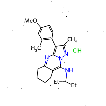 CCC(CC)Nc1c2c(nc3c(-c4ccc(OC)cc4C)c(C)nn13)CCCC2.Cl